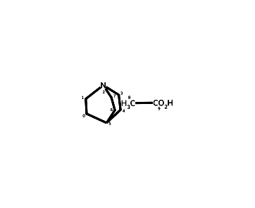 C1CN2CCC1CC2.CC(=O)O